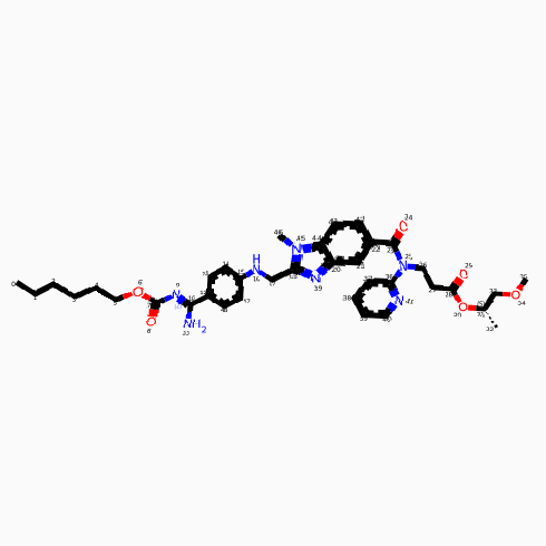 CCCCCCOC(=O)/N=C(\N)c1ccc(NCc2nc3cc(C(=O)N(CCC(=O)O[C@@H](C)COC)c4ccccn4)ccc3n2C)cc1